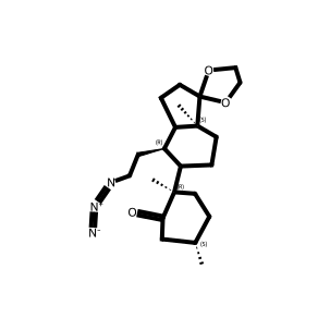 C[C@H]1CC[C@](C)(C2CC[C@@]3(C)C(CCC34OCCO4)[C@@H]2CCN=[N+]=[N-])C(=O)C1